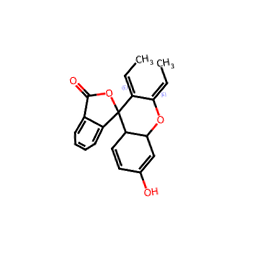 C/C=C1/OC2C=C(O)C=CC2C2(OC(=O)c3ccccc32)/C1=C/C